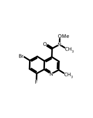 CON(C)C(=O)c1cc(C)nc2c(F)cc(Br)cc12